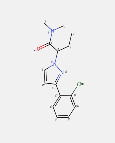 CCC(C(=O)N(C)C)n1ccc(-c2ccccc2Cl)n1